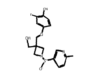 Cc1ccc([S+]([O-])N2CC(CO)(COc3ccc(C#N)c(F)c3)C2)cn1